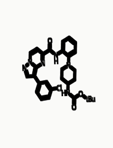 CC(C)(C)OC(=O)NC1CCN(c2ccccc2NC(=O)c2ccn3ncc(-c4cccc(Cl)c4)c3n2)CC1